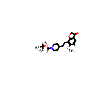 COc1c(F)cc2c(c1CCC1CCN(C(=O)OC(C)(C)C)CC1)OCC2=O